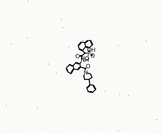 O=C(Nc1cc2ccccc2cc1C(=O)N1CCC(c2ccccc2)CC1)C(c1cccc2ccccc12)P(=O)(O)O